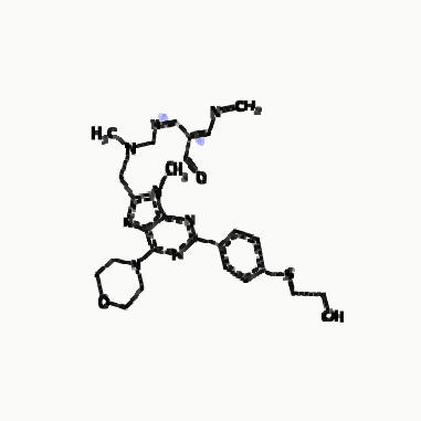 C=N/C=C(C=O)\C=N/CN(C)Cc1nc2c(N3CCOCC3)nc(-c3ccc(SCCO)cc3)nc2n1C